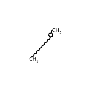 C=Cc1ccc(CCCCCCCCCCCCCCC)cc1